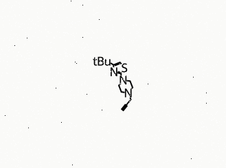 C#CCN1CCN(c2nc(C(C)(C)C)cs2)CC1